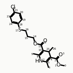 COC(=O)C1=C(C)NC(C)=C(C(=O)OCCCSc2ccc(Cl)cc2)C1C